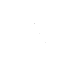 O=CN(c1ccon1)c1ncco1